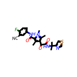 Cc1c(C(=O)C(=O)NC(C)(C)c2cscn2)c(C)n(C)c1C(=O)Nc1ccc(F)c(C#N)c1